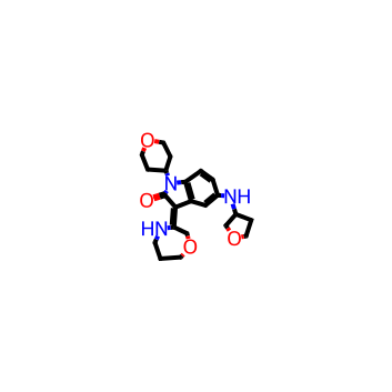 O=C1/C(=C2/COCCCN2)c2cc(NC3CCOC3)ccc2N1C1CCOCC1